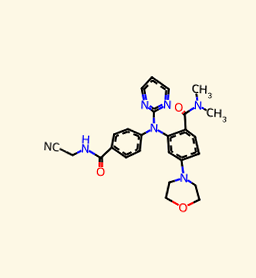 CN(C)C(=O)c1ccc(N2CCOCC2)cc1N(c1ccc(C(=O)NCC#N)cc1)c1ncccn1